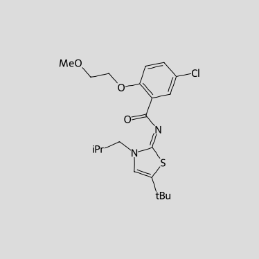 COCCOc1ccc(Cl)cc1C(=O)N=c1sc(C(C)(C)C)cn1CC(C)C